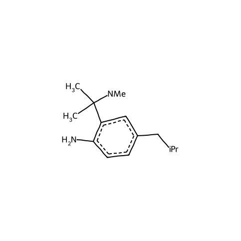 CNC(C)(C)c1cc(CC(C)C)ccc1N